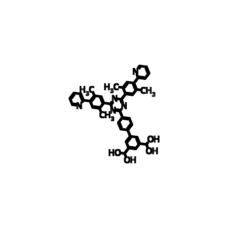 Cc1cc(-c2nc(-c3ccc(-c4cc(C(O)O)cc(C(O)O)c4)cc3)nc(-c3cc(C)c(-c4ccccn4)cc3C)n2)c(C)cc1-c1ccccn1